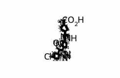 CN(C(=O)O)c1ccc(-c2c[nH]c(C3(C)CCc4cc(-c5cc(Cl)ccc5-n5cnnn5)c[n+]([O-])c43)n2)cc1